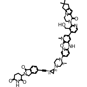 C[C@H]1CN([C@@H]2C[C@H]2C#Cc2ccc3c(c2)CN(C2CCC(=O)NC2=O)C3=O)CCN1c1ccc(Nc2cc(-c3ccnc(N4CCn5c(cc6c5CC(C)(C)C6)C4=O)c3CO)cn(C)c2=O)nc1